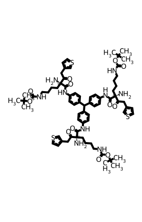 CC(C)(C)OC(=O)NCCCC[C@@](N)(C(=O)Cc1ccsc1)C(=O)Nc1ccc(C(c2ccc(NC(=O)[C@@](N)(CCCCNC(=O)OC(C)(C)C)C(=O)Cc3ccsc3)cc2)c2ccc(NC(=O)[C@@](N)(CCCCNC(=O)OC(C)(C)C)C(=O)Cc3ccsc3)cc2)cc1